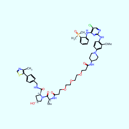 COc1cc(N2CCC(NC(=O)CCOCCOCCOCCC(=O)N[C@H](C(=O)N3C[C@H](O)C[C@H]3C(=O)NCc3ccc(-c4scnc4C)cc3)C(C)(C)C)CC2)ccc1Nc1ncc(Cl)c(Nc2ccccc2P(C)(C)=O)n1